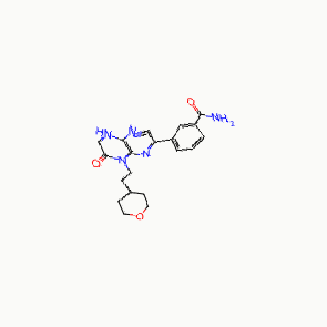 NC(=O)c1cccc(-c2cnc3c(n2)N(CCC2CCOCC2)C(=O)CN3)c1